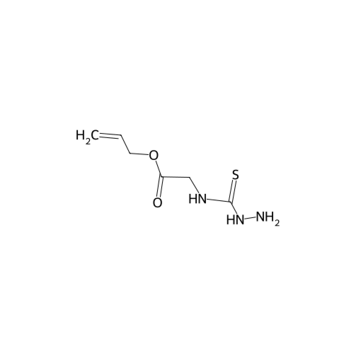 C=CCOC(=O)CNC(=S)NN